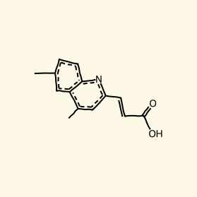 Cc1ccc2nc(/C=C/C(=O)O)cc(C)c2c1